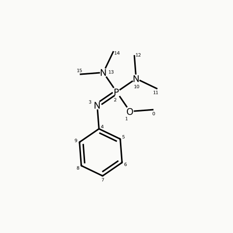 COP(=Nc1ccccc1)(N(C)C)N(C)C